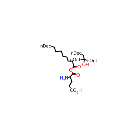 CCCCCCCCCCCC(O)(CCCCCCCC)CCCCCCCC.CCCCCCCCCCCCCCCCCC(=O)OC(=O)C(N)CCC(=O)O